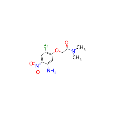 CN(C)C(=O)COc1cc(N)c([N+](=O)[O-])cc1Br